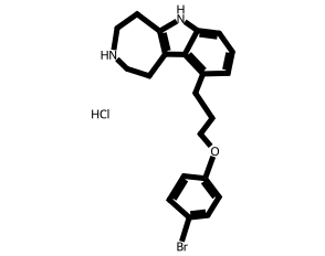 Brc1ccc(OCCCc2cccc3[nH]c4c(c23)CCNCC4)cc1.Cl